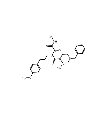 COc1ccc(CCC[C@@H](C(=O)N2CCN(Cc3ccccc3)C[C@@H]2C)[C@H](O)C(=O)NO)cc1